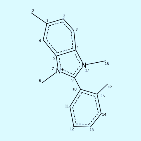 Cc1ccc2c(c1)[n+](C)c(-c1ccccc1C)n2C